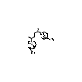 CC(C)N1CC2CCCC1CN2C(C)CCC(C)N1CC2CCC1CN2C(C)C